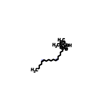 CCCC/C=C\CCCC/C=C\CCCCOP(=O)(O)C(CC)[N+](C)(C)C